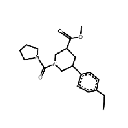 CCc1ccc(C2CC(C(=O)OC)CN(C(=O)N3CCCC3)C2)cc1